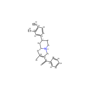 C=C(C(CN1CCC(c2ccc(C(C)(C)C)c(CC)c2)CC1)=C(C)C)c1ccccc1